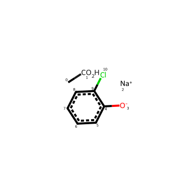 CC(=O)O.[Na+].[O-]c1ccccc1Cl